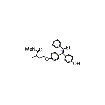 CC/C(=C(\c1ccc(O)cc1)c1ccc(OCCC(C)C(=O)NC)cc1)c1ccccc1